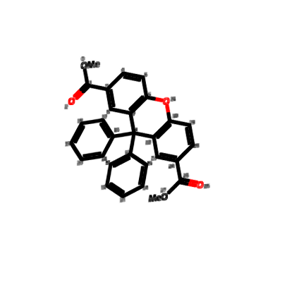 COC(=O)c1ccc2c(c1)C(c1ccccc1)(c1ccccc1)c1cc(C(=O)OC)ccc1O2